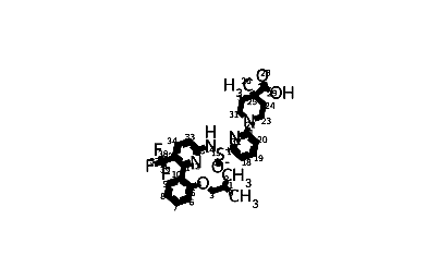 CC(C)COc1ccccc1-c1nc(N[S+]([O-])c2cccc(N3CCC(C)(C(=O)O)CC3)n2)ccc1C(F)(F)F